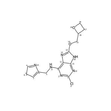 Clc1nc(NCc2cscn2)c2nc(OCC3CCO3)[nH]c2n1